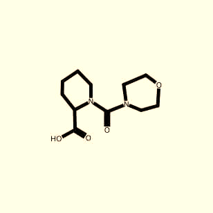 O=C(O)C1CCCCN1C(=O)N1CCOCC1